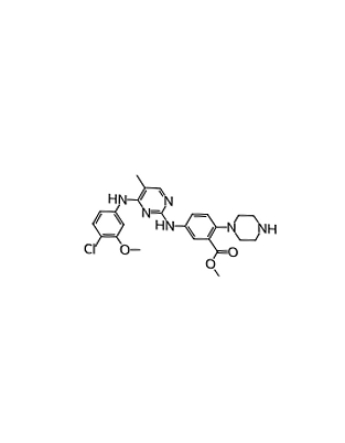 COC(=O)c1cc(Nc2ncc(C)c(Nc3ccc(Cl)c(OC)c3)n2)ccc1N1CCNCC1